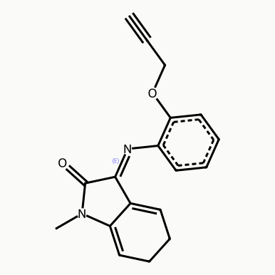 C#CCOc1ccccc1/N=C1/C(=O)N(C)C2=CCCC=C21